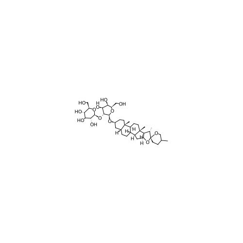 CC1CC[C@@]2(OC1)O[C@H]1C[C@H]3[C@@H]4CC[C@@H]5C[C@@H](O[C@@H]6O[C@H](CO)[C@H](O)[C@H](O)[C@H]6O[C@@H]6O[C@H](CO)[C@@H](O)[C@H](O)[C@H]6O)CC[C@]5(C)[C@H]4CC[C@]3(C)[C@H]1[C@@H]2C